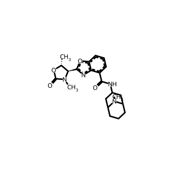 C[C@H]1OC(=O)N(C)[C@@H]1c1nc2c(C(=O)NC3CC4CCCC(C3)N4C)cccc2o1